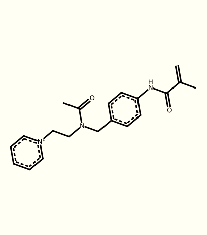 C=C(C)C(=O)Nc1ccc(CN(CC[n+]2ccccc2)C(C)=O)cc1